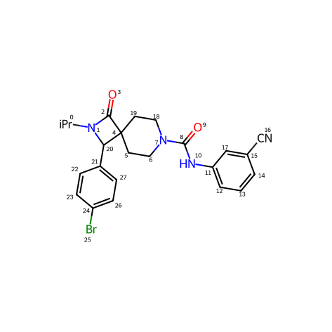 CC(C)N1C(=O)C2(CCN(C(=O)Nc3cccc(C#N)c3)CC2)C1c1ccc(Br)cc1